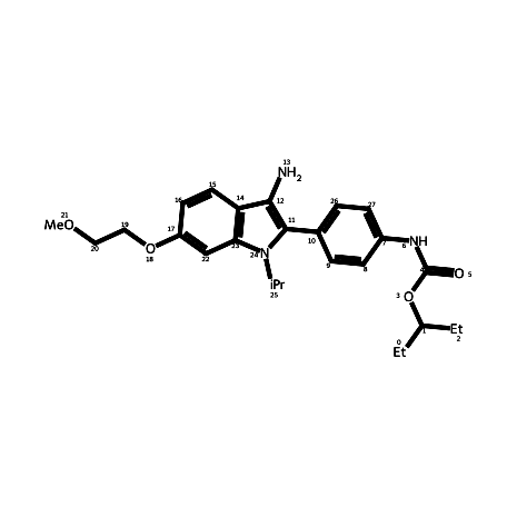 CCC(CC)OC(=O)Nc1ccc(-c2c(N)c3ccc(OCCOC)cc3n2C(C)C)cc1